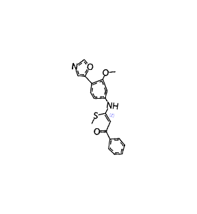 COc1cc(N/C(=C/C(=O)c2ccccc2)SC)ccc1-c1cnco1